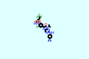 CC(C)n1c(=O)c(-c2ccc(NS(=O)(=O)CCC(F)(F)F)c(F)c2)nc2cnc(N[C@H]3CC[C@H](N(C)C)CC3)nc21